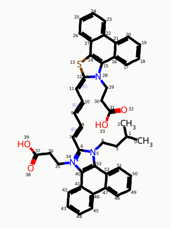 CC(C)CCn1c(/C=C/C=C/C=C2/Sc3c(c4ccccc4c4ccccc34)N2CCC(=O)O)[n+](CCC(=O)O)c2c3ccccc3c3ccccc3c21